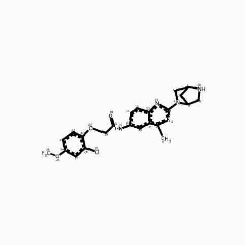 Cc1nc(N2CC3CC2CN3)nc2ccc(NC(=O)COc3ccc(OC(F)(F)F)cc3Cl)cc12